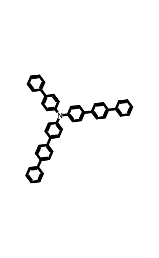 c1ccc(-c2ccc(-c3ccc(N(c4ccc(-c5ccccc5)cc4)c4ccc(-c5ccc(-c6ccccc6)cc5)cc4)cc3)cc2)cc1